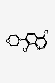 Clc1ccnc2c(Cl)c(N3CCOCC3)ccc12